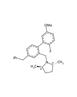 COc1ccc(F)c(-c2ccc(CC(C)C)cc2CN2[C@H](C)CC[C@H]2C)c1